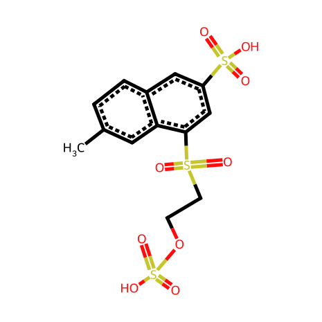 Cc1ccc2cc(S(=O)(=O)O)cc(S(=O)(=O)CCOS(=O)(=O)O)c2c1